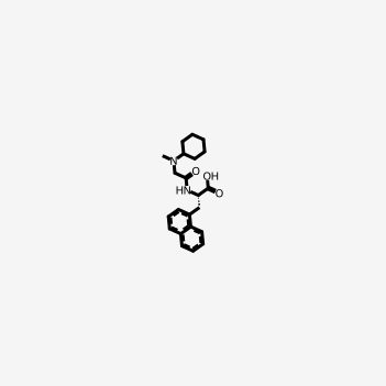 CN(CC(=O)N[C@@H](Cc1cccc2ccccc12)C(=O)O)C1CCCCC1